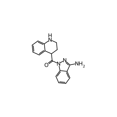 Nc1nn(C(=O)C2CCNc3ccccc32)c2ccccc12